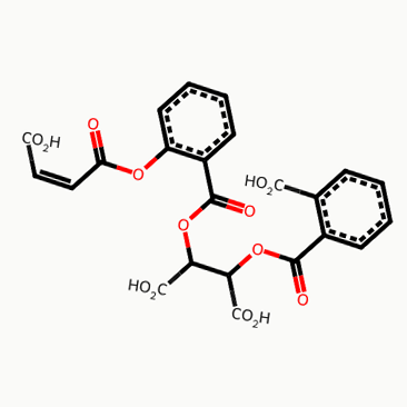 O=C(O)/C=C\C(=O)Oc1ccccc1C(=O)OC(C(=O)O)C(OC(=O)c1ccccc1C(=O)O)C(=O)O